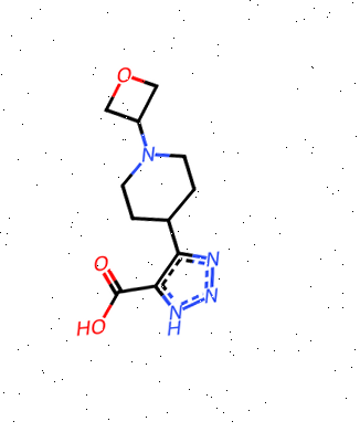 O=C(O)c1[nH]nnc1C1CCN(C2COC2)CC1